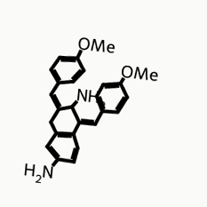 COc1ccc(C=C2Cc3cc(N)ccc3C(=Cc3ccc(OC)cc3)C2N)cc1